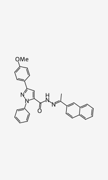 COc1ccc(-c2cc(C(=O)N/N=C(\C)c3ccc4ccccc4c3)n(-c3ccccc3)n2)cc1